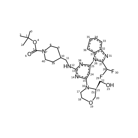 CC(C)(C)OC(=O)N1CCC(CNc2nc(N3CCOC[C@@H]3CO)cc(-n3c(C(F)F)nc4ccccc43)n2)CC1